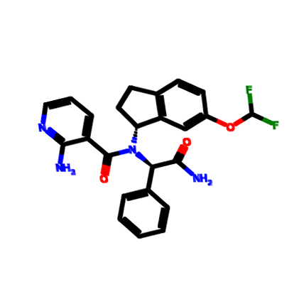 NC(=O)[C@@H](c1ccccc1)N(C(=O)c1cccnc1N)[C@@H]1CCc2ccc(OC(F)F)cc21